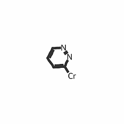 [Cr][c]1cccnn1